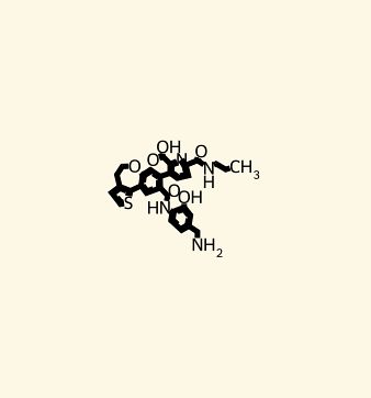 CCCNC(=O)c1ccc(-c2cc3c(cc2C(=O)Nc2ccc(CN)cc2O)-c2sccc2CCO3)c(C(=O)O)n1